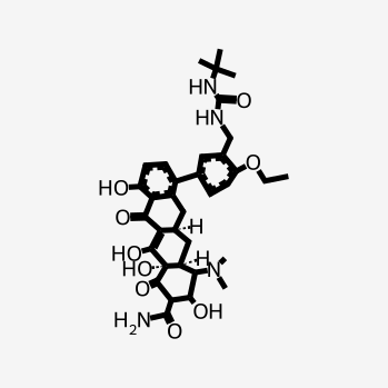 CCOc1ccc(-c2ccc(O)c3c2C[C@H]2C[C@H]4C(N(C)C)C(O)C(C(N)=O)C(=O)[C@@]4(O)C(O)=C2C3=O)cc1CNC(=O)NC(C)(C)C